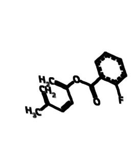 C=C(C)/C=C\C(=C)OC(=O)c1ccccc1F